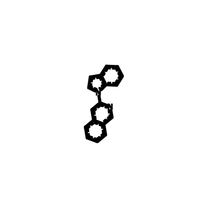 c1ccc2cc(-n3ccc4ccccc43)ncc2c1